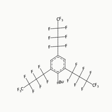 CCC[CH]c1c(C(F)(F)C(F)(F)C(F)(F)C(F)(F)F)cc(C(F)(F)C(F)(F)C(F)(F)C(F)(F)F)cc1C(F)(F)C(F)(F)C(F)(F)C(F)(F)F